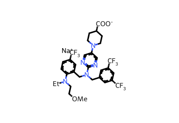 CCN(CCOC)c1ccc(C(F)(F)F)cc1CN(Cc1cc(C(F)(F)F)cc(C(F)(F)F)c1)c1ncc(N2CCC(C(=O)[O-])CC2)cn1.[Na+]